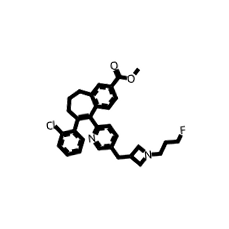 COC(=O)c1ccc2c(c1)CCCC(c1ccccc1Cl)=C2c1ccc(CC2CN(CCCF)C2)cn1